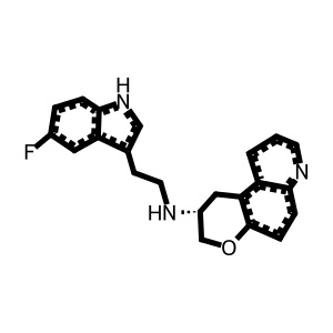 Fc1ccc2[nH]cc(CCN[C@H]3COc4ccc5ncccc5c4C3)c2c1